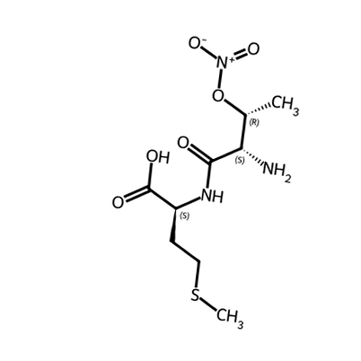 CSCC[C@H](NC(=O)[C@@H](N)[C@@H](C)O[N+](=O)[O-])C(=O)O